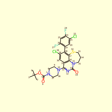 CC(C)(C)OC(=O)N1CCN(c2nc(=O)n3c4c(c(-c5cc(Cl)c(F)cc5F)c(Cl)cc24)SCCC3)CC1